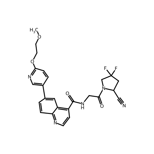 COCCOc1ccc(-c2ccc3nccc(C(=O)NCC(=O)N4CC(F)(F)CC4C#N)c3c2)cn1